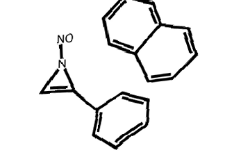 O=NN1C=C1c1ccccc1.c1ccc2ccccc2c1